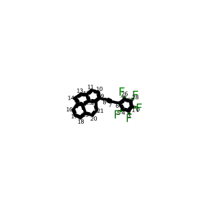 Fc1c(F)c(F)c(C#Cc2ccc3ccc4cccc5ccc2c3c45)c(F)c1F